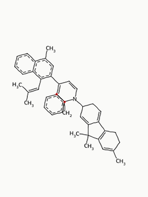 C=C/C=C(\C=C/N(c1ccccc1)C1C=C2C(=CC1)C1=C(C=C(C)CC1)C2(C)C)c1cc(C)c2ccccc2c1C=C(C)C